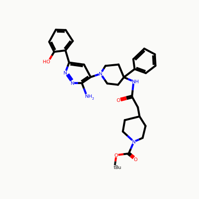 CC(C)(C)OC(=O)N1CCC(CC(=O)NC2(c3ccccc3)CCN(c3cc(-c4ccccc4O)nnc3N)CC2)CC1